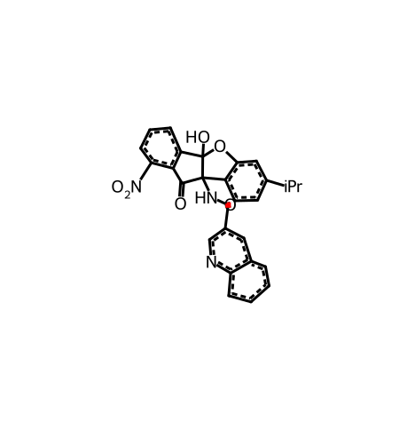 CC(C)c1ccc2c(c1)OC1(O)c3cccc([N+](=O)[O-])c3C(=O)C21NC(=O)c1cnc2ccccc2c1